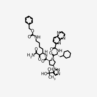 CC(C)(O)c1cnnn1[C@H]1C[C@@H](C(=O)NC(CCCCNC(=O)OCc2ccccc2)C(=O)C(N)=O)N(C(=O)[C@@H](CC2CCCCC2)NC(=O)c2ccc3nccnc3n2)C1